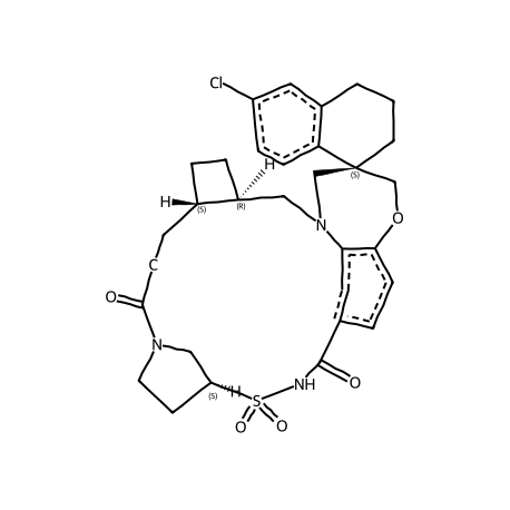 O=C1NS(=O)(=O)[C@H]2CCN(C2)C(=O)CC[C@@H]2CC[C@H]2CN2C[C@@]3(CCCc4cc(Cl)ccc43)COc3ccc1cc32